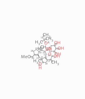 C=CC(C)(C)OC[C@H]1O[C@H](O[C@@H]2C3=C([C@H](C)CO)C[C@H](O)[C@]3(C)/C=C3/[C@@H](COC)CC[C@H]3[C@@H](C)[C@H]2O)C(O)C(O)C1O